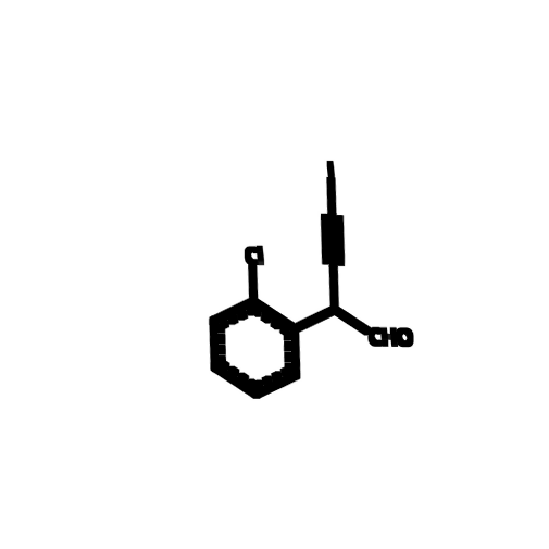 O=CC(C#CI)c1ccccc1Cl